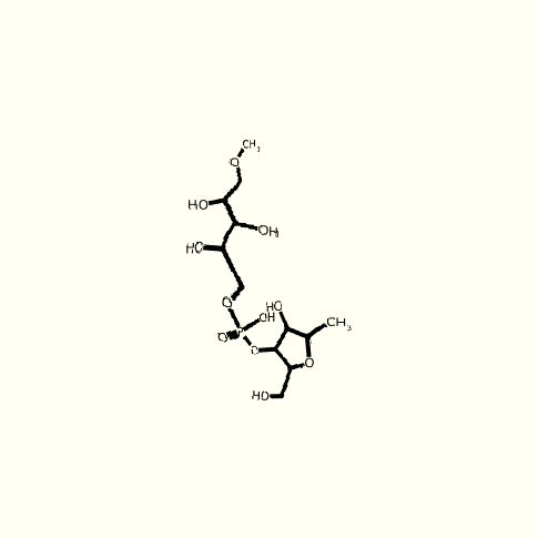 COCC(O)C(O)C(O)COP(=O)(O)OC1C(CO)OC(C)C1O